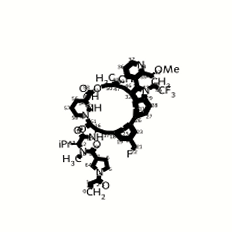 C=CC(=O)N1CCC(C(=O)N(C)[C@H](C(=O)N[C@H]2Cc3cc(CF)cc(c3)-c3ccc4c(c3)c(c(-c3cccnc3[C@H](C)OC)n4CC(F)(F)F)CC(C)(C)COC(=O)[C@@]3(O)CCCN(N3)C2=O)C(C)C)C1